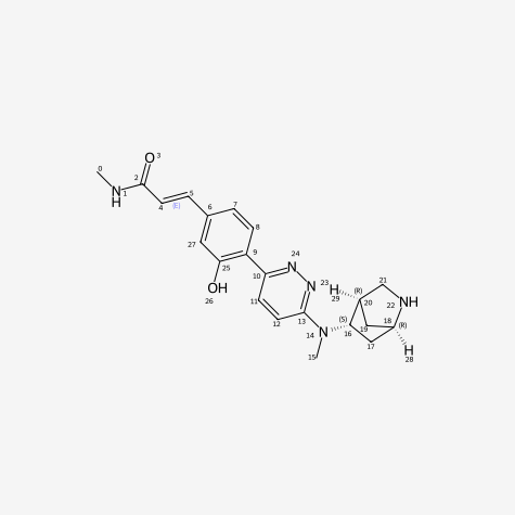 CNC(=O)/C=C/c1ccc(-c2ccc(N(C)[C@H]3C[C@H]4C[C@@H]3CN4)nn2)c(O)c1